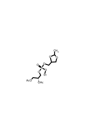 CCOP(=O)(OCC1COC(C)O1)OC[C@@H](COC(C)=O)OC(C)=O